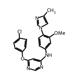 COc1cc(Nc2cc(Oc3ccc(Cl)cc3)ncn2)ccc1-n1cnc(C)c1